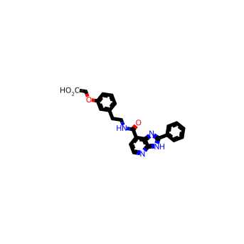 O=C(O)COc1cccc(CCNC(=O)c2ccnc3[nH]c(-c4ccccc4)nc23)c1